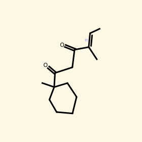 C/C=C(\C)C(=O)CC(=O)C1(C)CCCCC1